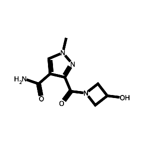 Cn1cc(C(N)=O)c(C(=O)N2CC(O)C2)n1